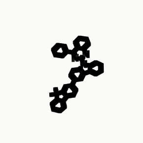 CC1(C)c2ccccc2-c2ccc(-c3ccc4c(c3)c3ccccc3n4-c3nc(-c4ccccc4)c4ccccc4n3)cc21